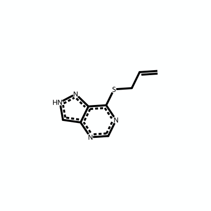 C=CCSc1ncnc2c[nH]nc12